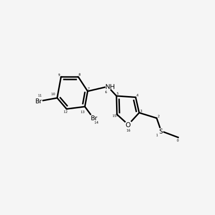 CSCc1cc(Nc2ccc(Br)cc2Br)[c]o1